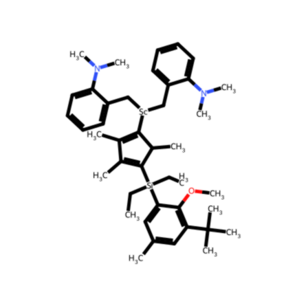 CC[Si](CC)(C1=C(C)C(C)=[C]([Sc]([CH2]c2ccccc2N(C)C)[CH2]c2ccccc2N(C)C)C1C)c1cc(C)cc(C(C)(C)C)c1OC